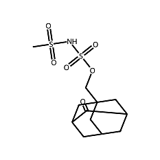 CS(=O)(=O)NS(=O)(=O)OCC12CC3CC(C1)C(=O)C(C3)C2